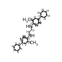 Cc1cc(-c2ccccc2)nnc1NCCNc1nnc(-c2ccccc2)cc1C